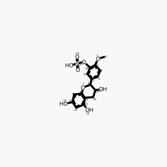 COc1ccc(C2Oc3cc(O)cc(O)c3CC2O)cc1OS(=O)(=O)O